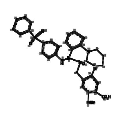 COc1cc(CC(=O)N(Nc2ccc(S(=O)(=O)c3ccccc3)cc2)c2ccccc2N2CCCCC2)c(Br)cc1C(=O)O